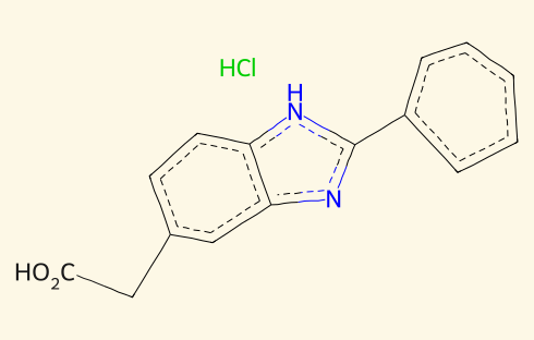 Cl.O=C(O)Cc1ccc2[nH]c(-c3ccccc3)nc2c1